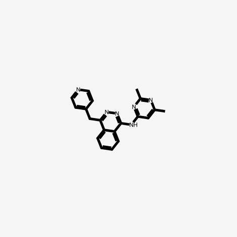 Cc1cc(Nc2nnc(Cc3ccncc3)c3ccccc23)nc(C)n1